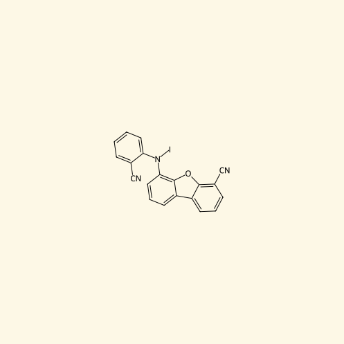 N#Cc1ccccc1N(I)c1cccc2c1oc1c(C#N)cccc12